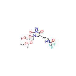 CCO[C@H](C)OC1C[C@H](n2cc(C#CCNC(=O)C(F)(F)F)c(=O)[nH]c2=O)O[C@@H]1CO